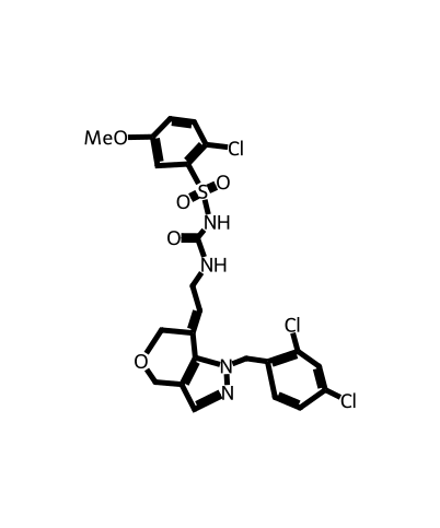 COc1ccc(Cl)c(S(=O)(=O)NC(=O)NCC=C2COCc3cnn(Cc4ccc(Cl)cc4Cl)c32)c1